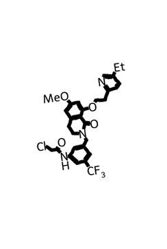 CCc1ccc(CCOc2cc(OC)cc3c2C(=O)N(Cc2cc(NC(=O)CCl)cc(C(F)(F)F)c2)CC3)nc1